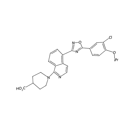 CC(C)Oc1ccc(-c2nc(-c3cccc4c(N5CCC(C(=O)O)CC5)nccc34)no2)cc1Cl